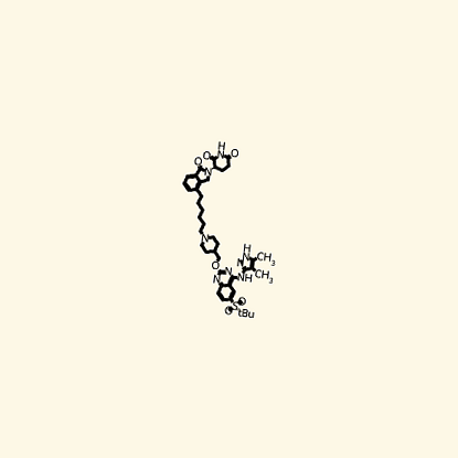 Cc1[nH]nc(Nc2nc(OCC3CCN(CCCCCCc4cccc5c4CN([C@H]4CCC(=O)NC4=O)C5=O)CC3)nc3ccc(S(=O)(=O)C(C)(C)C)cc23)c1C